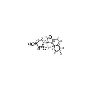 Cc1ccc2c3c(ccc2c1)OC[C@]3(CO)c1ccc(O)cc1